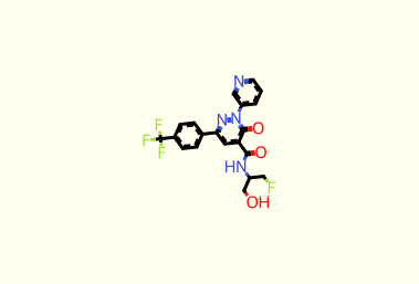 O=C(NC(CO)CF)c1cc(-c2ccc(C(F)(F)F)cc2)nn(-c2cccnc2)c1=O